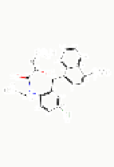 COc1ccc(C2OC(CC(=O)O)C(=O)N(CC(C)(C)C)c3ccc(Cl)cc32)c2ccccc12